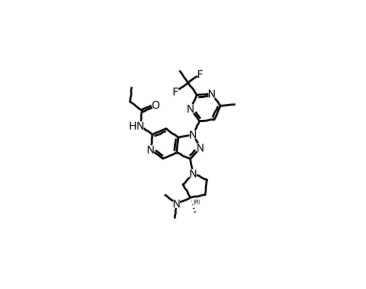 CCC(=O)Nc1cc2c(cn1)c(N1CC[C@@](C)(N(C)C)C1)nn2-c1cc(C)nc(C(C)(F)F)n1